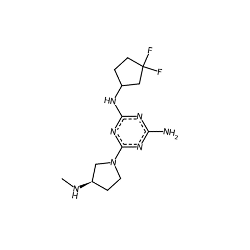 CN[C@@H]1CCN(c2nc(N)nc(NC3CCC(F)(F)C3)n2)C1